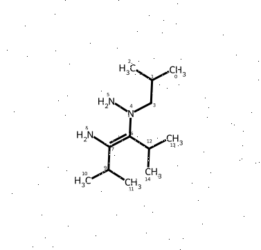 CC(C)CN(N)/C(=C(\N)C(C)C)C(C)C